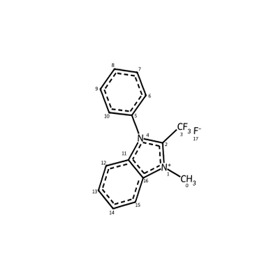 C[n+]1c(C(F)(F)F)n(-c2ccccc2)c2ccccc21.[F-]